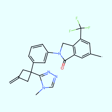 [CH2]c1cc2c(c(C(F)(F)F)c1)CN(c1cccc(C3(c4nncn4C)CC(=C)C3)c1)C2=O